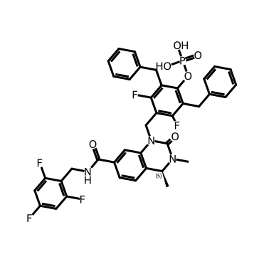 C[C@H]1c2ccc(C(=O)NCc3c(F)cc(F)cc3F)cc2N(Cc2c(F)c(Cc3ccccc3)c(OP(=O)(O)O)c(Cc3ccccc3)c2F)C(=O)N1C